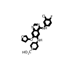 O=C(O)N1CCC(Nc2cc3c(Nc4ccc(F)c(Cl)c4)ncnc3cc2OC2CCOC2)CC1